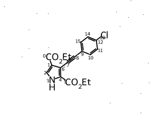 CCOC(=O)c1c[nH]c(C(=O)OCC)c1C#Cc1ccc(Cl)cc1